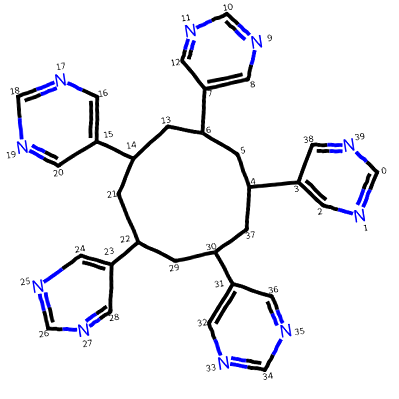 c1ncc(C2CC(c3cncnc3)CC(c3cncnc3)CC(c3cncnc3)CC(c3cncnc3)C2)cn1